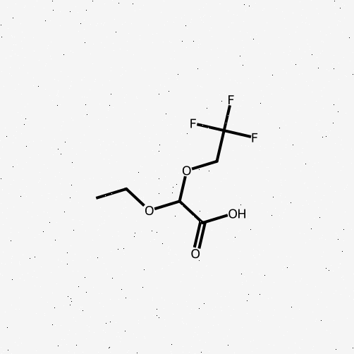 CCOC(OCC(F)(F)F)C(=O)O